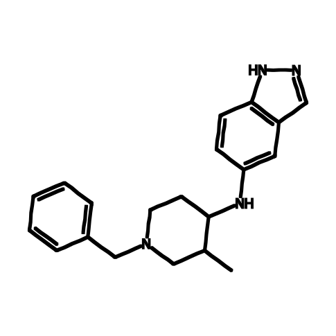 CC1CN(Cc2ccccc2)CCC1Nc1ccc2[nH]ncc2c1